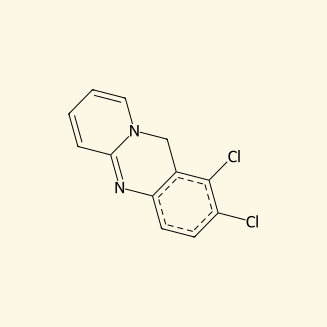 Clc1ccc2c(c1Cl)CN1C=CC=CC1=N2